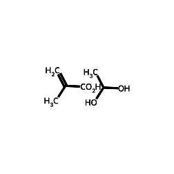 C=C(C)C(=O)O.CC(O)O